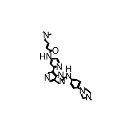 CN(C)CC=CC(=O)Nc1ccnc(-c2cncc3cnc(Nc4ccc(N5CCN(C)CC5)cc4)nc23)c1